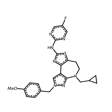 COc1ccc(Cn2cc3c(n2)N(CC2CC2)CCc2sc(Nc4ncc(F)cn4)nc2-3)cc1